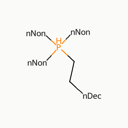 CCCCCCCCCCCC[PH](CCCCCCCCC)(CCCCCCCCC)CCCCCCCCC